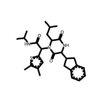 Cc1cc(C(C(=O)NC(C)C)N2C(=O)C(C3Cc4ccccc4C3)NC(=O)C2CC(C)C)sc1C